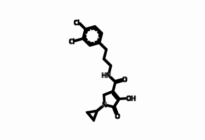 O=C(NCCCc1ccc(Cl)c(Cl)c1)C1=C(O)C(=O)N(C2CC2)C1